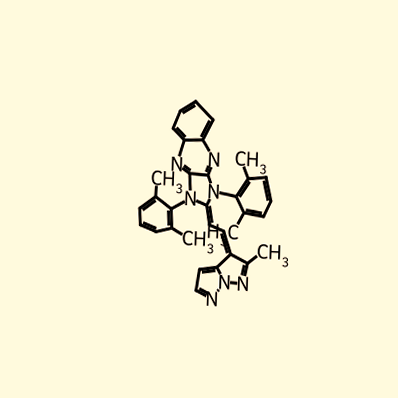 Cc1cccc(C)c1N1C(=C/C=c2/c(C)nn3nccc23)N(c2c(C)cccc2C)c2nc3ccccc3nc21